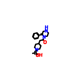 CB(O)N1CCC(CC(=O)N2CCNC[C@@H]2c2ccccc2)CC1